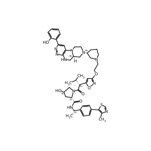 Cc1ncsc1-c1ccc([C@H](C)NC(=O)[C@@H]2C[C@@H](O)CN2C(=O)[C@@H](c2cc(OCCN3CCC[C@@H](N4CCN5c6cc(-c7ccccc7O)nnc6NC[C@@H]5C4)C3)no2)C(C)C)cc1